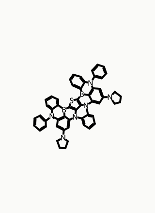 c1ccc(N2c3ccccc3B3c4sc5c6c4N(c4ccccc4N6c4cc(N6CCCC6)cc6c4B5c4ccccc4N6c4ccccc4)c4cc(N5CCCC5)cc2c43)cc1